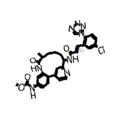 COC(=O)Nc1ccc2c(c1)NC(=O)C(C)CCCC(NC(=O)/C=C/c1cc(Cl)ccc1-n1cnnn1)c1cc-2ccn1